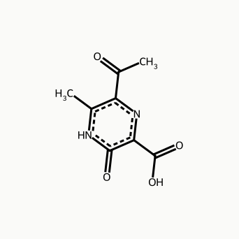 CC(=O)c1nc(C(=O)O)c(=O)[nH]c1C